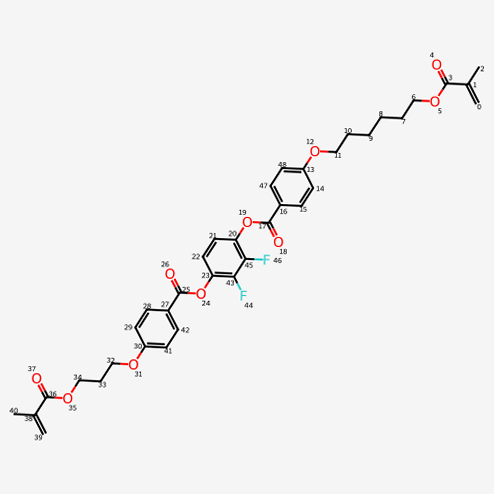 C=C(C)C(=O)OCCCCCCOc1ccc(C(=O)Oc2ccc(OC(=O)c3ccc(OCCCOC(=O)C(=C)C)cc3)c(F)c2F)cc1